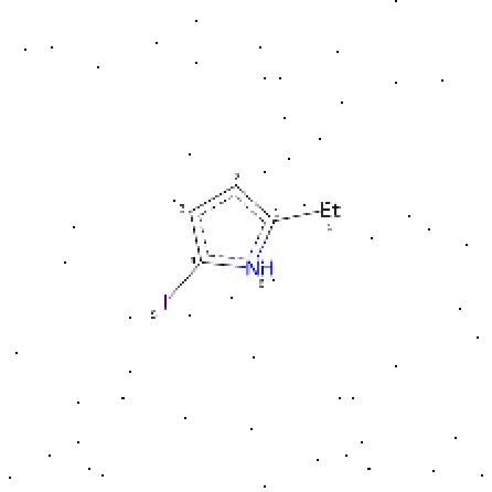 CCc1ccc(I)[nH]1